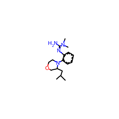 CC(C)CC1COCCN1c1ccccc1N=C(N)N(C)C